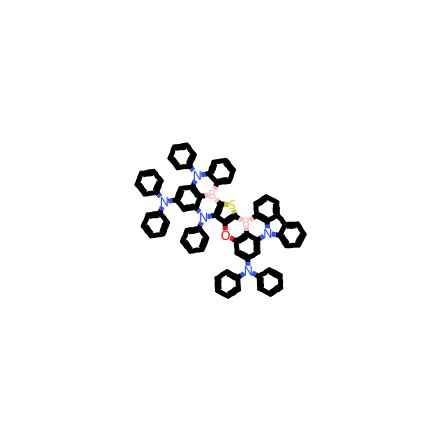 c1ccc(N(c2ccccc2)c2cc3c4c(c2)N(c2ccccc2)c2c(sc5c2Oc2cc(N(c6ccccc6)c6ccccc6)cc6c2B5c2cccc5c7ccccc7n-6c25)B4c2ccccc2N3c2ccccc2)cc1